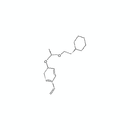 C=CC1=CCC(OC(C)OCCC2CCCCC2)C=C1